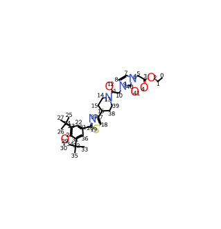 CCOC(=O)Cn1ccn(CC(=O)N2CCC(c3csc(-c4cc(C(C)(C)C)c(OC)c(C(C)(C)C)c4)n3)CC2)c1=O